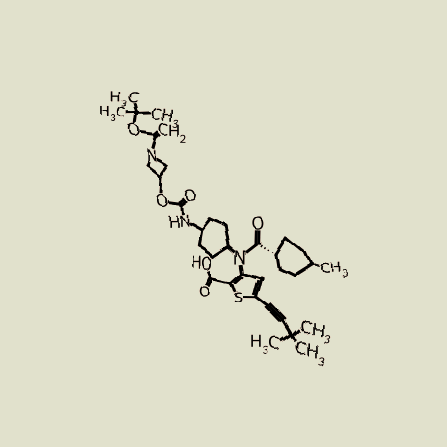 C=C(OC(C)(C)C)N1CC(OC(=O)NC2CCC(N(c3cc(C#CC(C)(C)C)sc3C(=O)O)C(=O)[C@H]3CC[C@H](C)CC3)CC2)C1